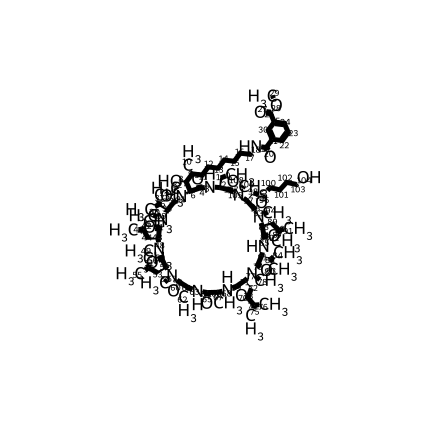 CC[C@@H]1NC(=O)[C@H]([C@H](O)[C@H](C)CCCCCCCNC(=O)c2cccc(C(=O)OC)c2)N(C)C(=O)[C@H](C(C)C)N(C)C(=O)[C@H](CC(C)C)N(C)C(=O)[C@H](CC(C)C)N(C)C(=O)[C@H](C)NC(=O)[C@@H](C)NC(=O)[C@@H](CCC(C)C)N(C)C(=O)[C@@H](C(C)C)NC(=O)[C@H](CC(C)C)N(C)C(=O)[C@@H](CSCCCCO)N(C)C1=O